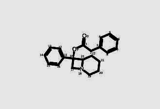 O=C(Cc1ccccc1)O[C@]1(c2ccccc2)CN2CCCCC21